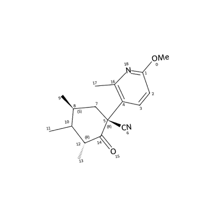 COc1ccc([C@@]2(C#N)C[C@H](C)C(C)[C@@H](C)C2=O)c(C)n1